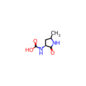 CC1C[C@H](NC(=O)O)C(=O)N1